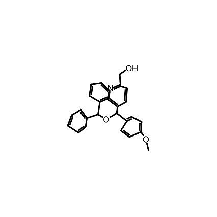 COc1ccc(C(OC(c2ccccc2)c2ccccc2)c2ccc(CO)nc2)cc1